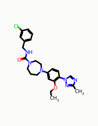 CCOc1cc(N2CCCN(C(=O)NCc3cccc(Cl)c3)CC2)ccc1-n1cnc(C)n1